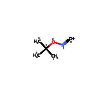 [CH]=NOC(C)(C)C